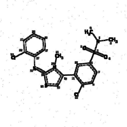 CN(C)S(=O)(=O)c1ccc(Cl)c(-c2csc(=Nc3ccccc3Cl)n2C)c1